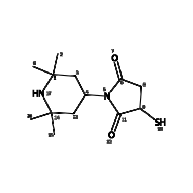 CC1(C)CC(N2C(=O)CC(S)C2=O)CC(C)(C)N1